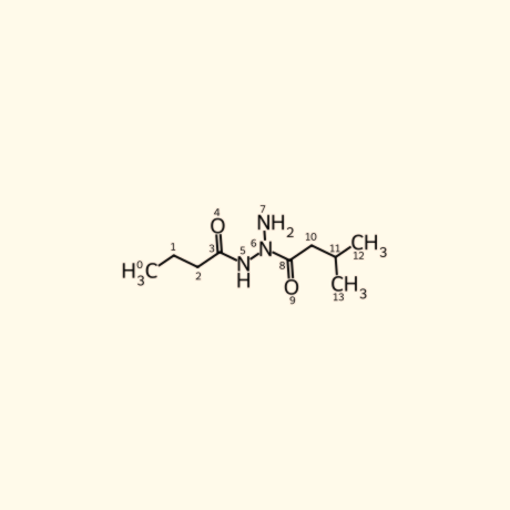 CCCC(=O)NN(N)C(=O)CC(C)C